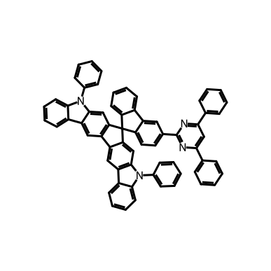 c1ccc(-c2cc(-c3ccccc3)nc(-c3ccc4c(c3)-c3ccccc3C43c4cc5c(cc4-c4cc6c7ccccc7n(-c7ccccc7)c6cc43)c3ccccc3n5-c3ccccc3)n2)cc1